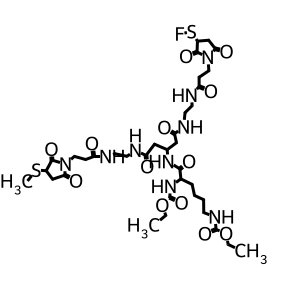 CCOC(=O)NCCCCC(NC(=O)OCC)C(=O)NC(CC(=O)NCCNC(=O)CCN1C(=O)CC(SC)C1=O)CC(=O)NCCNC(=O)CCN1C(=O)CC(SF)C1=O